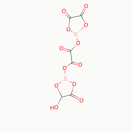 O=C1OB(OC(=O)C(=O)OB2OC(=O)C(O)O2)OC1=O